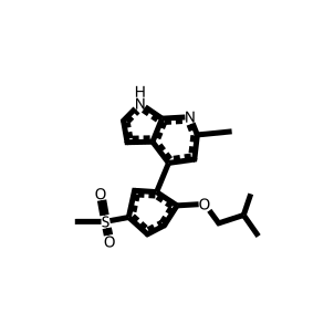 Cc1cc(-c2cc(S(C)(=O)=O)ccc2OCC(C)C)c2cc[nH]c2n1